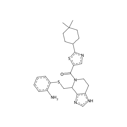 CC1(C)CCC(c2ncc(C(=O)N3CCc4[nH]cnc4C3CSc3ccccc3N)s2)CC1